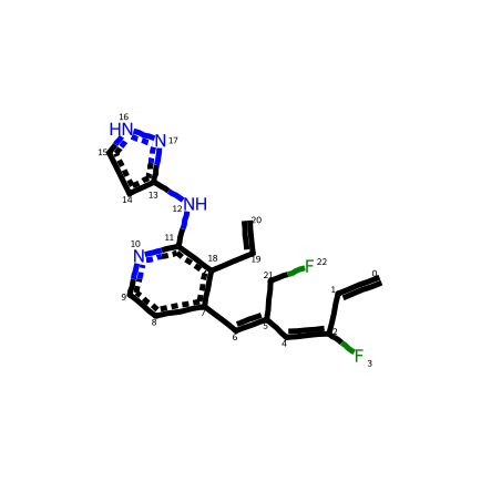 C=C/C(F)=C\C(=C\c1ccnc(Nc2cc[nH]n2)c1C=C)CF